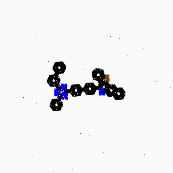 c1ccc(-c2cccc(-c3nc(-c4ccccc4)nc(-c4ccc(-c5ccc(-c6nc7cc8ccccc8cc7c7sc8ccccc8c67)cc5)cc4)n3)c2)cc1